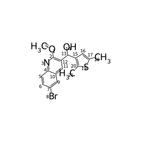 COc1nc2ccc(Br)cc2cc1C(O)c1cc(C)sc1C